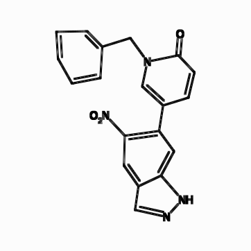 O=c1ccc(-c2cc3[nH]ncc3cc2[N+](=O)[O-])cn1Cc1ccccc1